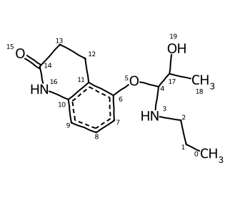 CCCNC(Oc1cccc2c1CCC(=O)N2)C(C)O